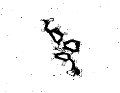 C[Si](c1ccccc1)(c1cccc(CC2CO2)c1)c1cccc(CC2CO2)c1